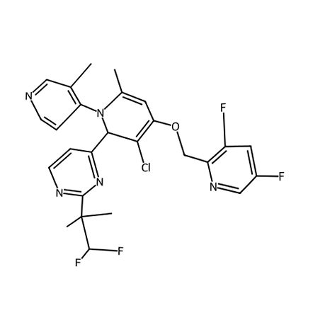 CC1=CC(OCc2ncc(F)cc2F)=C(Cl)C(c2ccnc(C(C)(C)C(F)F)n2)N1c1ccncc1C